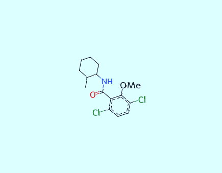 COc1c(Cl)ccc(Cl)c1C(=O)NC1CCCCC1C